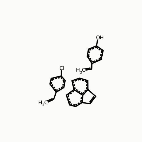 C1=Cc2cccc3cccc1c23.C=Cc1ccc(Cl)cc1.C=Cc1ccc(O)cc1